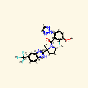 COc1ccc(-n2nccn2)c(C(=O)N2CCCC2(C)c2nc3cc(C(F)(F)F)ccc3[nH]2)c1F